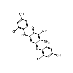 CCCC1=C(N)/C(=N\c2ccc(O)cc2Cl)C=C(Nc2ccc(O)cc2Cl)C1=O